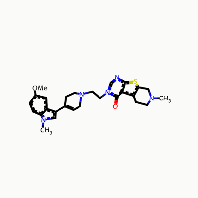 COc1ccc2c(c1)c(C1=CCN(CCn3cnc4sc5c(c4c3=O)CCN(C)C5)CC1)cn2C